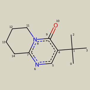 CC(C)(C)c1cnc2n(c1=O)CCCC2